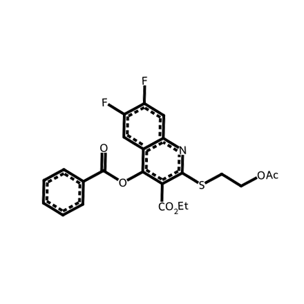 CCOC(=O)c1c(SCCOC(C)=O)nc2cc(F)c(F)cc2c1OC(=O)c1ccccc1